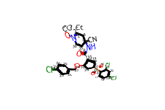 CCOC(=O)ON1CCC(C#N)(NC(=O)[C@@H]2C[C@@H](S(=O)(=O)c3ccc(Cl)cc3Cl)C[C@H]2OCc2ccc(Cl)cc2)CC1